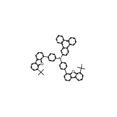 CC(C)(C)c1cccc2c1oc1c(-c3ccc(N(c4ccc(-c5cccc6c5oc5c(C(C)(C)C)cccc56)cc4)c4ccc5c6ccccc6c6ccccc6c5c4)cc3)cccc12